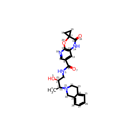 C[C@@H]([C@@H](O)CNC(=O)c1cnc2c(c1)NC(=O)C1(CC1)O2)N1CCc2ccccc2C1